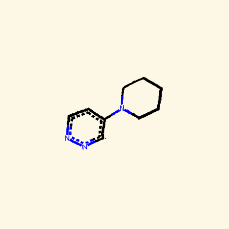 [c]1nnccc1N1CCCCC1